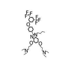 CCCCn1c(-c2ccc(Oc3cc(C(F)(F)F)cc(C(F)(F)F)c3)cc2)nc2c(OCCCN(CC)CC)cc(OCCCN(CC)CC)cc21